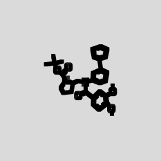 COc1ccc(C(=O)N(CC2CCCN2C(=O)OC(C)(C)C)c2cccc(-c3ccccc3)c2)cc1OC